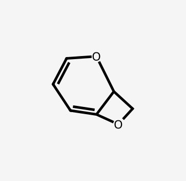 C1=COC2COC2=C1